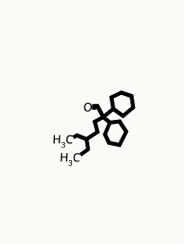 CCC(CC)CCC(C=O)(C1CCCCC1)C1CCCCC1